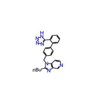 CCCCc1nc2cnccc2n1Cc1ccc(-c2ccccc2-c2nnn[nH]2)cc1